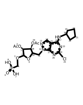 CC(=O)O[C@@H]1C(OCP(=O)(O)O)OC(Cn2ncc3c(NC4CCCC4)nc(Cl)nc32)[C@@H]1OC(C)=O